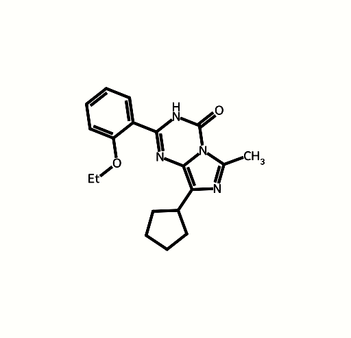 CCOc1ccccc1-c1nc2c(C3CCCC3)nc(C)n2c(=O)[nH]1